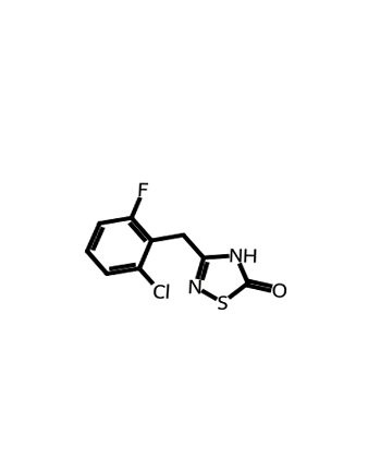 O=c1[nH]c(Cc2c(F)cccc2Cl)ns1